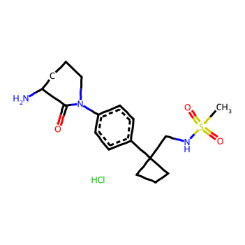 CS(=O)(=O)NCC1(c2ccc(N3CCCC(N)C3=O)cc2)CCC1.Cl